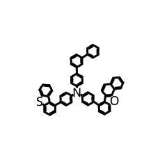 c1ccc(-c2cccc(-c3ccc(N(c4ccc(-c5cccc6oc7c8ccccc8ccc7c56)cc4)c4ccc(-c5cccc6sc7ccccc7c56)cc4)cc3)c2)cc1